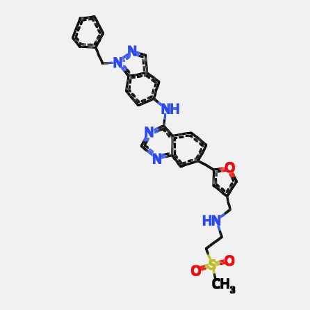 CS(=O)(=O)CCNCc1coc(-c2ccc3c(Nc4ccc5c(cnn5Cc5ccccc5)c4)ncnc3c2)c1